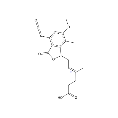 COc1cc(N=C=O)c2c(c1C)C(C/C=C(\C)CCC(=O)O)OC2=O